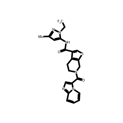 CC(C)(C)c1cc(NC(=O)c2csc3c2CCN(C(=O)c2cnc4ccccn24)C3)n(CC(F)(F)F)n1